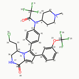 CN1CCC(N(C(=O)C(F)(F)F)c2ccc(-c3c(-c4cccc(OC(F)(F)F)c4)cc4n3C(CCCl)CNC4=O)cc2)CC1